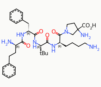 CC(C)(C)[C@@H](NC(=O)[C@@H](Cc1ccccc1)NC(=O)[C@H](N)CCc1ccccc1)C(=O)N[C@H](CCCCN)C(=O)N1CCC(N)(C(=O)O)C1